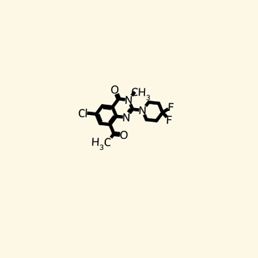 CC(=O)c1cc(Cl)cc2c(=O)n(C)c(N3CCC(F)(F)CC3)nc12